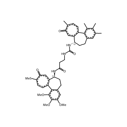 COc1cc2c(c(OC)c1OC)-c1ccc(SC)c(=O)cc1[C@@H](NC(=O)CCNC(=O)N[C@H]1CCc3cc(C)c(C)c(C)c3-c3ccc(C)c(=O)cc31)CC2